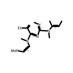 C=C(CC)/C(=N\C(=N/C)N(C)/C(C)=C/C)N(C)/C=C\NC